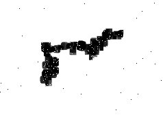 O=C1CCC(N2C(=O)c3cccc(OCCc4cnnn4CCOCCOCCNCc4ccc(-n5cc(NC(=O)c6coc(-c7ccnc(NCC8CC8)c7)n6)c(C(F)F)n5)cc4)c3C2=O)C(=O)N1